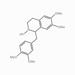 CCCN1CCc2cc(OC)c(OC)cc2C1Cc1ccc(OC)c(OC)c1